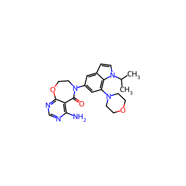 CC(C)n1ccc2cc(N3CCOc4ncnc(N)c4C3=O)cc(N3CCOCC3)c21